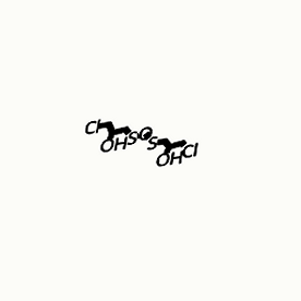 OC(CCl)CSOSCC(O)CCl